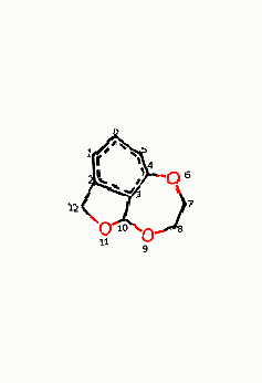 c1cc2c3c(c1)OCCOC3OC2